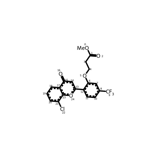 COC(=O)CCOc1cc(C(F)(F)F)ccc1-c1cc(=O)c2cccc(Cl)c2o1